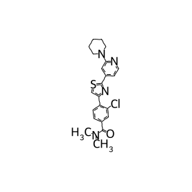 CN(C)C(=O)c1ccc(-c2csc(-c3ccnc(N4CCCCC4)c3)n2)c(Cl)c1